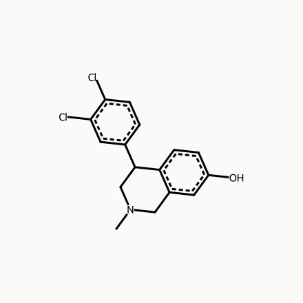 CN1Cc2cc(O)ccc2C(c2ccc(Cl)c(Cl)c2)C1